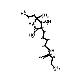 CC(C)(CCO)[C@@H](O)C(CCCCNC(=O)CCN)OO